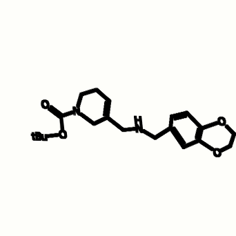 CC(C)(C)OC(=O)N1CCC=C(CNCc2ccc3c(c2)OCCO3)C1